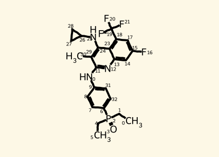 CCP(=O)(CC)c1ccc(Nc2nc3cc(F)cc(C(F)(F)F)c3c(NC3CC3)c2C)cc1